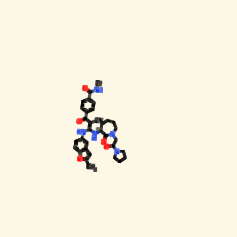 CCNC(=O)c1ccc(C(=O)C(C#N)=C(Nc2ccc3oc(C)cc3c2)N[C@H]2CCCCN(CC(=O)N3CCCC3)C2=O)cc1